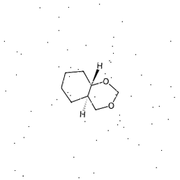 C1CC[C@@H]2OCOC[C@H]2C1